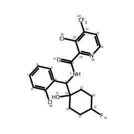 O=C(NC(c1ccccc1Cl)C1(O)CCC(F)CC1)c1nccc(C(F)(F)F)c1Cl